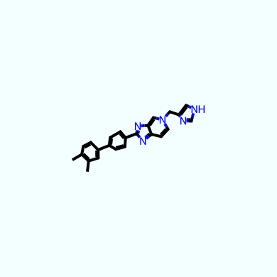 Cc1ccc(-c2ccc(-c3nc4ccn(Cc5c[nH]cn5)cc-4n3)cc2)cc1C